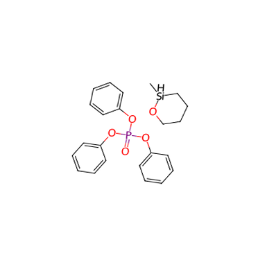 C[SiH]1CCCCO1.O=P(Oc1ccccc1)(Oc1ccccc1)Oc1ccccc1